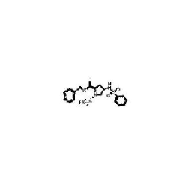 O=C(OCc1ccccc1)C1CC(NS(=O)(=O)c2ccccc2)CN1C(=O)O